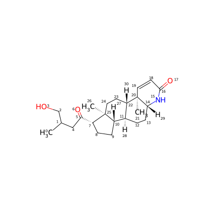 CC(CO)CC(=O)[C@H]1CC[C@H]2[C@@H]3CC[C@H]4NC(=O)C=C[C@]4(C)[C@H]3CC[C@]12C